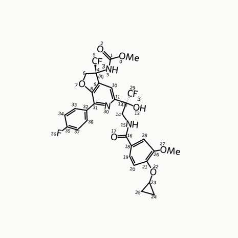 COC(=O)N[C@@]1(C(F)(F)F)COc2c1cc([C@@](O)(CNC(=O)c1ccc(OC3CC3)c(OC)c1)C(F)(F)F)nc2-c1ccc(F)cc1